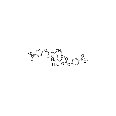 CC(C)(CCC(C)(C)OC(=O)Oc1ccc([N+](=O)[O-])cc1)OC(=O)Oc1ccc([N+](=O)[O-])cc1